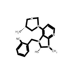 CN1c2nccc(N3CCC[C@@H](N)C3)c2N(Cc2ccccc2C#N)[C@H]1S